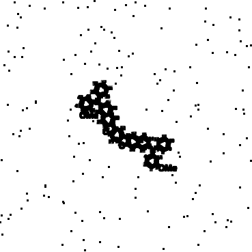 COc1cccc(N(c2ccccc2)c2ccc3cc4c(cc3c2)oc2cc3oc5cc6cc(N(c7ccccc7)c7cccc(OC)c7)ccc6cc5c3cc24)c1